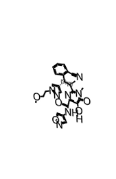 COCCn1cc([C@H](c2ccccc2C#N)[C@@H](C)c2nc(C(=O)Nc3cnoc3)c(O)c(=O)n2C)cn1